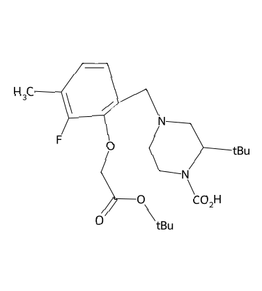 Cc1ccc(CN2CCN(C(=O)O)C(C(C)(C)C)C2)c(OCC(=O)OC(C)(C)C)c1F